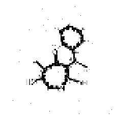 Cc1c(S)cnc(S)c([C@H](C)c2ccccc2)c1=O